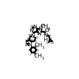 Cc1ccc(-n2ncc3c2CCN(c2ncnc4c2nc(C(=O)NCC2CC2)n4C)C3)c(C)c1